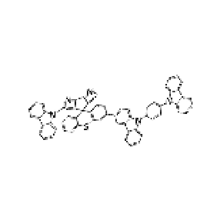 c1ccc2c(c1)Sc1cc(-c3ccc4c(c3)c3ccccc3n4-c3ccc(-n4c5ccccc5c5ccccc54)cc3)ccc1C21c2cccnc2-c2ncc(-n3c4ccccc4c4ccccc43)cc21